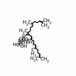 COP(=O)(OC1C(/C=C(\C)CC/C=C(\C)CCC=C(C)C)C1(C)CC/C=C(\C)CCC=C(C)C)OP(=O)(O)O